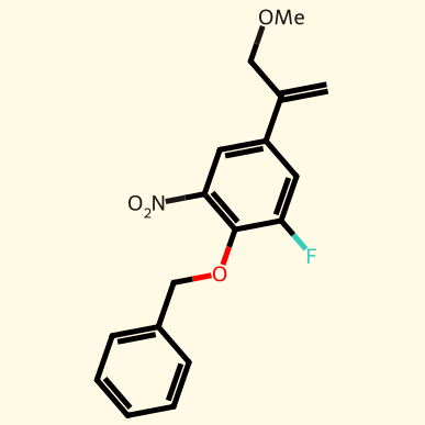 C=C(COC)c1cc(F)c(OCc2ccccc2)c([N+](=O)[O-])c1